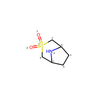 O=S1(=O)C[C]2CCC(C1)N2